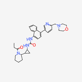 CCC(=O)N1CCCCC1C1CC1NC(=O)Nc1ccc(-c2ccc(CN3CCOCC3)nc2)c2ccccc12